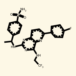 CC(Nc1nc(NCC(F)(F)F)c2nc(-c3ccc(F)cc3)ccc2n1)c1ccc(S(N)(=O)=O)cc1